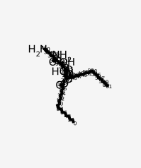 CCCCCCCC/C=C\CCCCCCCC(=O)OC[C@H](COP(=O)(O)OCC(O)COC(=O)[C@@H](N)CCCCN)OC(=O)CCCCCCC/C=C\CCCCCCCC